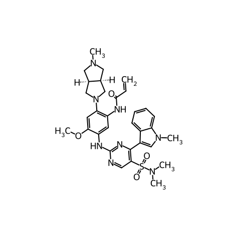 C=CC(=O)Nc1cc(Nc2ncc(S(=O)(=O)N(C)C)c(-c3cn(C)c4ccccc34)n2)c(OC)cc1N1C[C@H]2CN(C)C[C@H]2C1